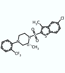 Cc1c(S(=O)(=O)N2CCN(c3ccccc3C(F)(F)F)C[C@H]2C)sc2ccc(Cl)cc12